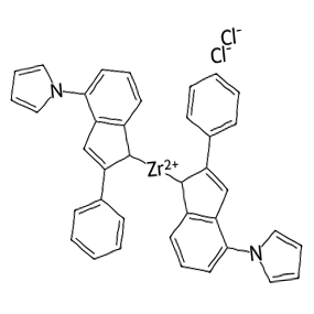 C1=C(c2ccccc2)[CH]([Zr+2][CH]2C(c3ccccc3)=Cc3c2cccc3-n2cccc2)c2cccc(-n3cccc3)c21.[Cl-].[Cl-]